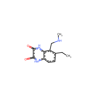 CCc1ccc2[nH]c(=O)c(=O)[nH]c2c1CNC